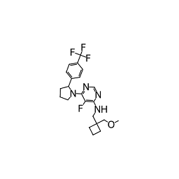 COCC1(CNc2ncnc(N3CCCC3c3ccc(C(F)(F)F)cc3)c2F)CCC1